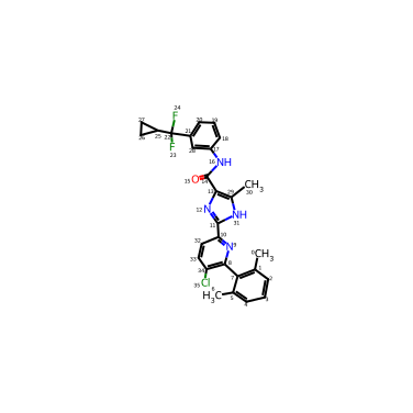 Cc1cccc(C)c1-c1nc(-c2nc(C(=O)Nc3cccc(C(F)(F)C4CC4)c3)c(C)[nH]2)ccc1Cl